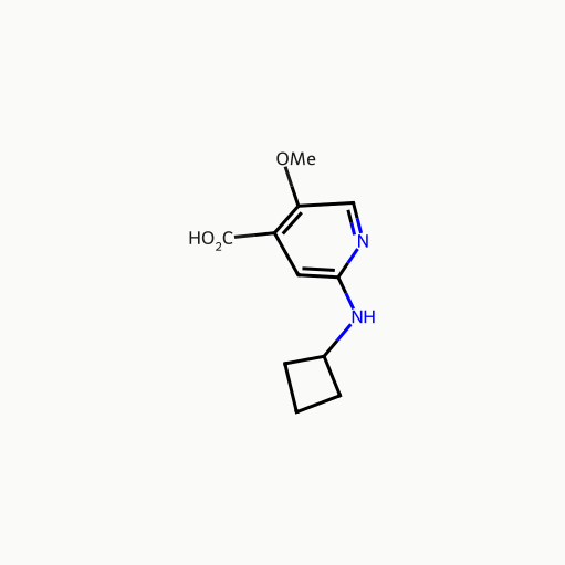 COc1cnc(NC2CCC2)cc1C(=O)O